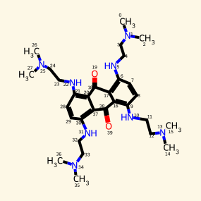 CN(C)CCNc1ccc(NCCN(C)C)c2c1C(=O)c1c(NCCN(C)C)ccc(NCCN(C)C)c1C2=O